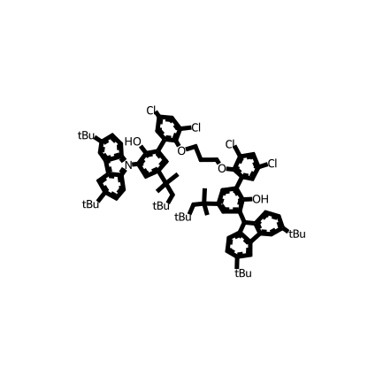 CC(C)(C)CC(C)(C)c1cc(-c2cc(Cl)cc(Cl)c2OCCCOc2c(Cl)cc(Cl)cc2-c2cc(C(C)(C)CC(C)(C)C)cc(-n3c4ccc(C(C)(C)C)cc4c4cc(C(C)(C)C)ccc43)c2O)c(O)c(C2c3ccc(C(C)(C)C)cc3-c3cc(C(C)(C)C)ccc32)c1